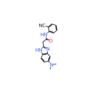 CN(C)c1ccc2[nH]c(CC(=O)Nc3ccccc3C#N)nc2c1